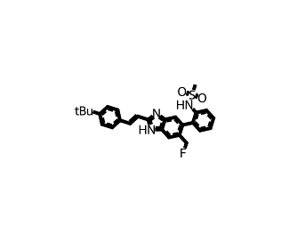 CC(C)(C)c1ccc(/C=C/c2nc3cc(-c4ccccc4NS(C)(=O)=O)c(CF)cc3[nH]2)cc1